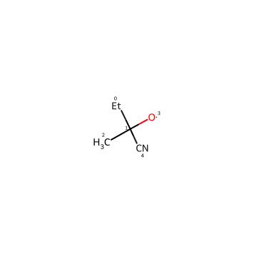 CCC(C)([O])C#N